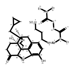 CC(=O)NCCCS(=O)(=O)O.CCN(CC)C(=S)SSC(=S)N(CC)CC.O=C1CC[C@@]2(O)[C@H]3Cc4ccc(O)c5c4[C@@]2(CCN3CC2CC2)[C@H]1O5